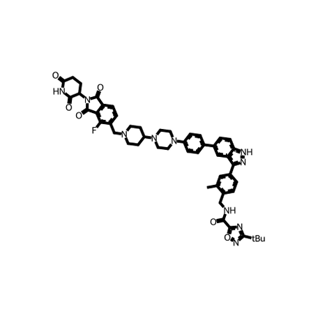 Cc1cc(-c2n[nH]c3ccc(-c4ccc(N5CCN(C6CCN(Cc7ccc8c(c7F)C(=O)N(C7CCC(=O)NC7=O)C8=O)CC6)CC5)cc4)cc23)ccc1CNC(=O)c1nc(C(C)(C)C)no1